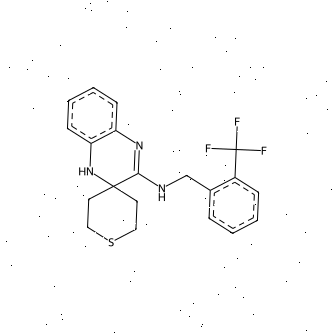 FC(F)(F)c1ccccc1CNC1=Nc2ccccc2NC12CCSCC2